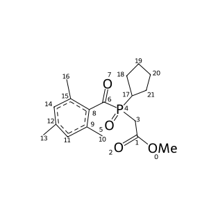 COC(=O)CP(=O)(C(=O)c1c(C)cc(C)cc1C)C1CCCC1